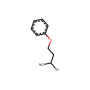 CCC(C#N)CCOc1ccccc1